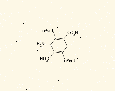 CCCCCC1=C(C(=O)O)C(N)C(CCCCC)=C(C(=O)O)C1